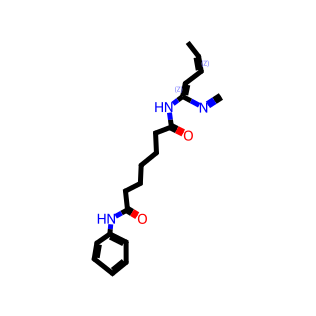 C=N/C(=C\C=C/C)NC(=O)CCCCCC(=O)Nc1ccccc1